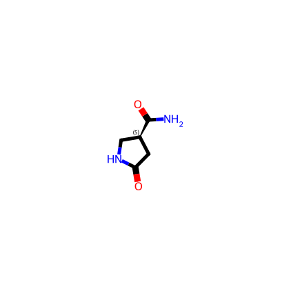 NC(=O)[C@@H]1CNC(=O)C1